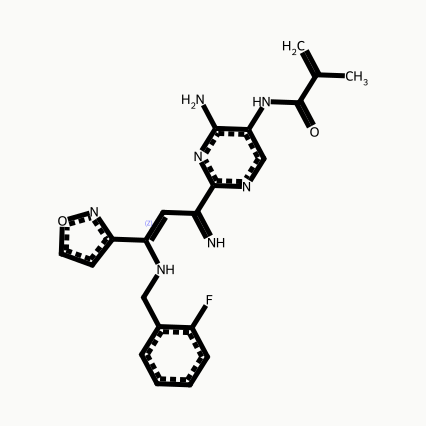 C=C(C)C(=O)Nc1cnc(C(=N)/C=C(\NCc2ccccc2F)c2ccon2)nc1N